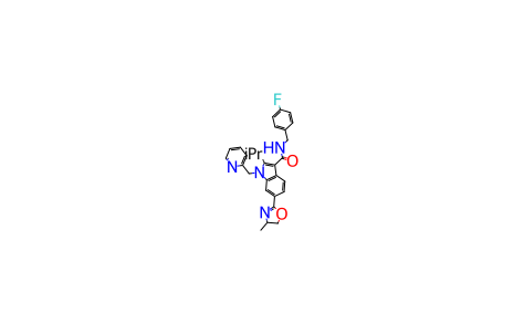 CC1COC(c2ccc3c(C(=O)NCc4ccc(F)cc4)c(C(C)C)n(Cc4ccccn4)c3c2)=N1